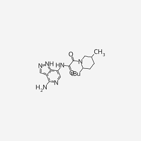 CC1CCC(C(C)(C)C)N(C(=O)C(=O)Nc2cnc(N)c3cn[nH]c23)C1